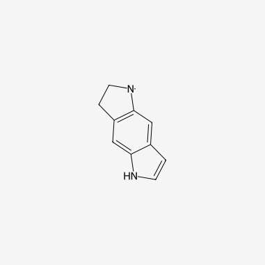 c1cc2cc3c(cc2[nH]1)CC[N]3